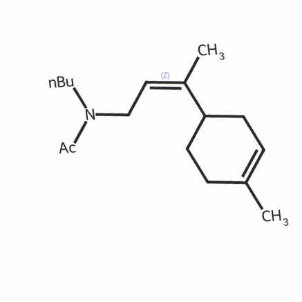 CCCCN(C/C=C(/C)C1CC=C(C)CC1)C(C)=O